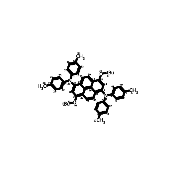 Cc1ccc(N(c2ccc(C)cc2)c2cc(OC(C)(C)C)c3ccc4c(N(c5ccc(C)cc5)c5ccc(C)cc5)cc(OC(C)(C)C)c5ccc2c3c54)cc1